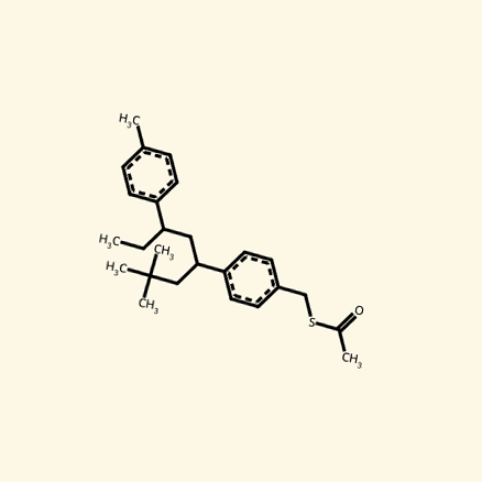 CCC(CC(CC(C)(C)C)c1ccc(CSC(C)=O)cc1)c1ccc(C)cc1